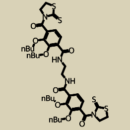 CCCCOc1c(C(=O)NCCNC(=O)c2ccc(C(=O)N3CCSC3=S)c(OCCCC)c2OCCCC)ccc(C(=O)N2CCSC2=S)c1OCCCC